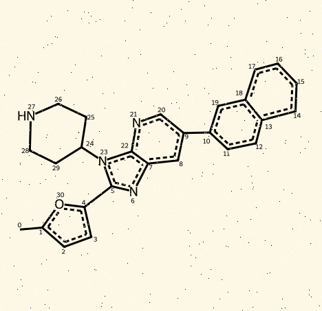 Cc1ccc(-c2nc3cc(-c4ccc5ccccc5c4)cnc3n2C2CCNCC2)o1